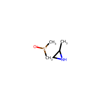 CC1CN1.C[S+](C)[O-]